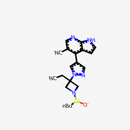 CCCC[S+]([O-])N1CC(CC#N)(n2cc(-c3c(C#N)cnc4[nH]ccc34)cn2)C1